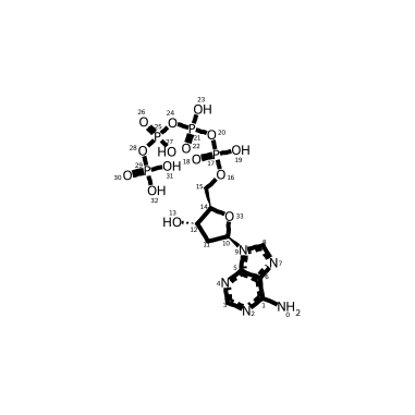 Nc1ncnc2c1ncn2[C@H]1C[C@H](O)[C@@H](COP(=O)(O)OP(=O)(O)OP(=O)(O)OP(=O)(O)O)O1